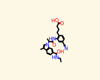 CCNC(O)c1ccc2c(C)cn(C(C)C(=O)Nc3cc(C#N)ccc3CCCC(=O)O)c2c1